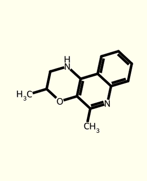 Cc1nc2ccccc2c2c1OC(C)CN2